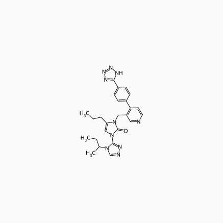 CCCc1cn(-c2nncn2C(C)CC)c(=O)n1Cc1cnccc1-c1ccc(-c2nnn[nH]2)cc1